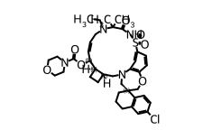 CCN1CC=C[C@H](OC(=O)N2CCOCC2)[C@@H]2CC[C@H]2CN2C[C@@]3(CCCc4cc(Cl)ccc43)COc3ccc(cc32)S(=O)(=O)NC(=O)C1(C)C